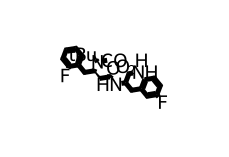 CC(C)(C)N(C(=O)O)[C@@H](CC(=O)NC1Cc2cc(F)ccc2NC1=O)Cc1ccccc1F